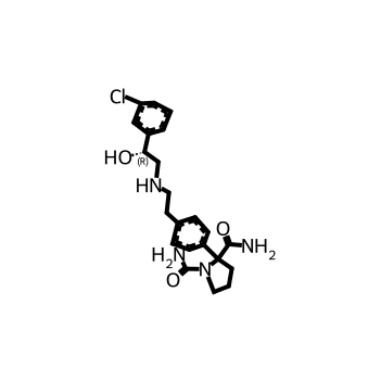 NC(=O)N1CCCC1(C(N)=O)c1ccc(CCNC[C@H](O)c2cccc(Cl)c2)cc1